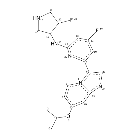 CC(C)Oc1ccn2c(-c3cc(F)cc(NC4CNCC4F)n3)cnc2c1